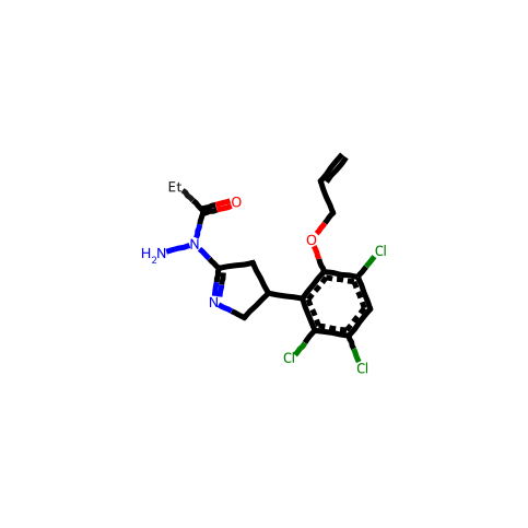 C=CCOc1c(Cl)cc(Cl)c(Cl)c1C1CN=C(N(N)C(=O)CC)C1